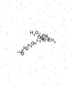 CCO[Si](C)(CCCOCCOCC1CO1)OCC